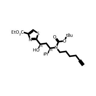 C#CCCCCN(C(=O)OC(C)(C)C)[C@H](C[C@@H](O)c1nc(C(=O)OCC)cs1)C(C)C